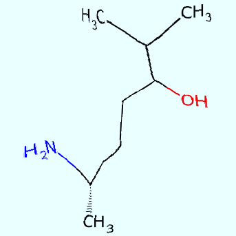 CC(C)C(O)CC[C@H](C)N